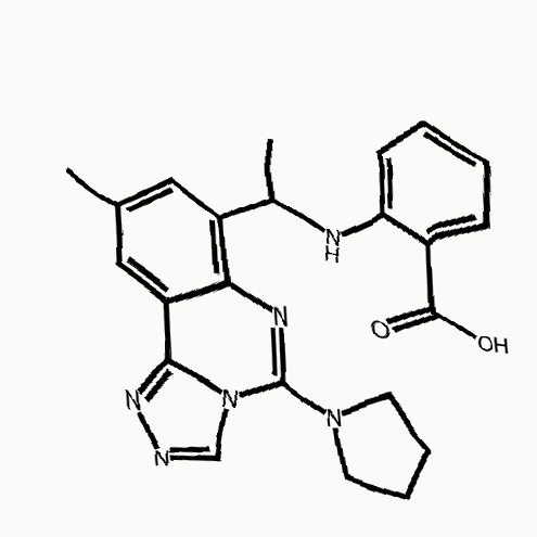 Cc1cc(C(C)Nc2ccccc2C(=O)O)c2nc(N3CCCC3)n3cnnc3c2c1